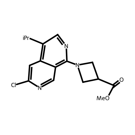 COC(=O)C1CN(c2ncc(C(C)C)c3cc(Cl)ncc23)C1